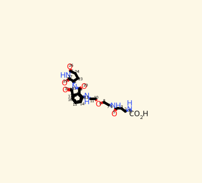 O=C(O)NCCC(=O)NCCOCCNc1cccc2c1C(=O)N(C1CCC(=O)NC1=O)C2=O